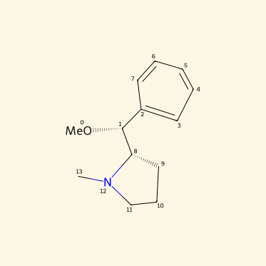 CO[C@H](c1ccccc1)[C@@H]1CCCN1C